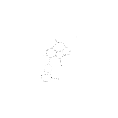 CN=c1c2c(N3CC4C5C=CC(N)(CC5)C4C3)c(F)cc3c(=O)c(OC(=O)O)c4scc1n4c32